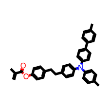 C=C(C)C(=O)Oc1ccc(CCc2ccc(N(c3ccc(C)cc3)c3ccc(-c4ccc(C)cc4)cc3)cc2)cc1